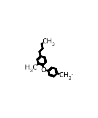 [CH2]c1ccc(Oc2ccc(CCCC)cc2C)cc1